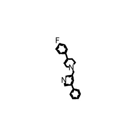 Fc1ccc(C2=CCN(Cc3cncc(-c4ccccc4)c3)CC2)cc1